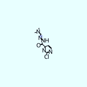 CN(C)/C=N/NC(=O)c1ccnc(Cl)n1